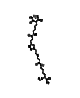 CC(C)C(=O)C(N)CCCCNC(=O)CCOCCn1cc(CCC(=O)NCCCCC(C(N)=O)C(=O)C(C)C)nn1